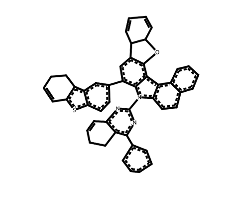 C1=CC2Oc3c(cc(-c4ccc5sc6c(c5c4)CCC=C6)c4c3c3c5ccccc5ccc3n4-c3nc4c(c(-c5ccccc5)n3)CCC=C4)C2C=C1